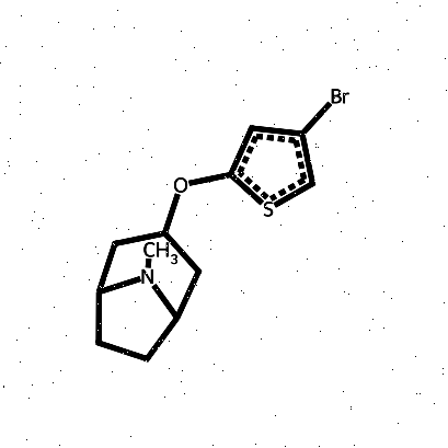 CN1C2CCC1CC(Oc1cc(Br)cs1)C2